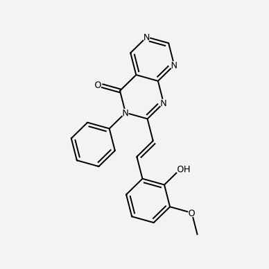 COc1cccc(C=Cc2nc3ncncc3c(=O)n2-c2ccccc2)c1O